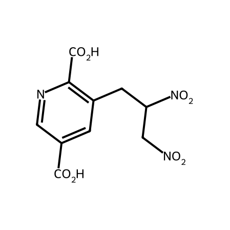 O=C(O)c1cnc(C(=O)O)c(CC(C[N+](=O)[O-])[N+](=O)[O-])c1